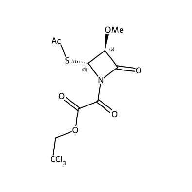 CO[C@H]1C(=O)N(C(=O)C(=O)OCC(Cl)(Cl)Cl)[C@@H]1SC(C)=O